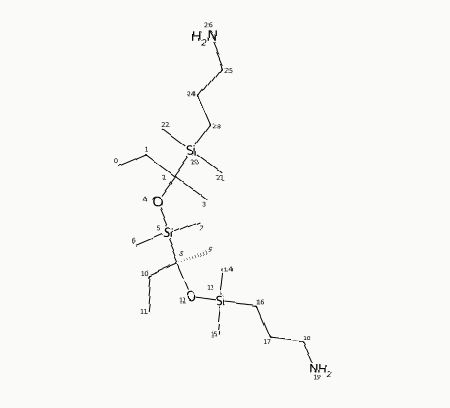 CCC(C)(O[Si](C)(C)[C@](C)(CC)O[Si](C)(C)CCCN)[Si](C)(C)CCCN